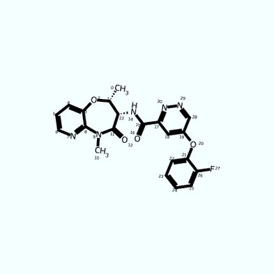 C[C@H]1Oc2cccnc2N(C)C(=O)[C@H]1NC(=O)c1cc(Oc2ccccc2F)cnn1